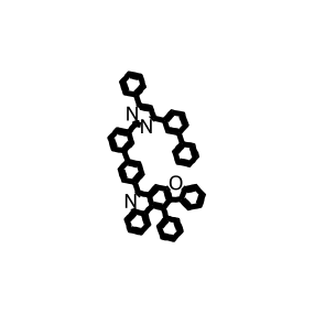 c1ccc(-c2cccc(-c3cc(-c4ccccc4)nc(-c4cccc(-c5ccc(-c6nc7ccccc7c7c(-c8ccccc8)c8c(cc67)oc6ccccc68)cc5)c4)n3)c2)cc1